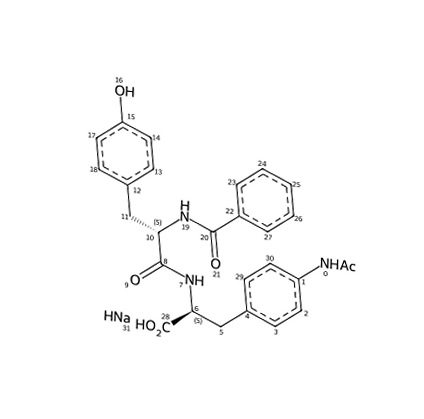 CC(=O)Nc1ccc(C[C@H](NC(=O)[C@H](Cc2ccc(O)cc2)NC(=O)c2ccccc2)C(=O)O)cc1.[NaH]